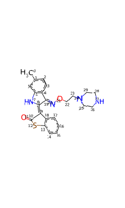 Cc1ccc2c(c1)NC(=C1\C(=O)Sc3ccccc31)/C2=N/OCCN1CCNCC1